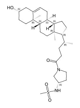 C[C@H](CCC(=O)N1CC[C@H](NS(C)(=O)=O)C1)[C@H]1CC[C@H]2[C@@H]3CC=C4C[C@@H](O)CC[C@]4(C)[C@H]3CC[C@]12C